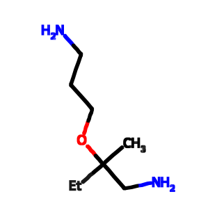 CCC(C)(CN)OCCCN